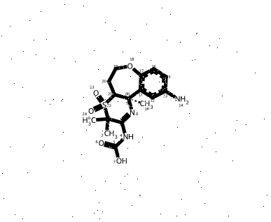 CC1(C)C(NC(=O)O)=N[C@]2(C)c3cc(N)ccc3OCCC2S1(=O)=O